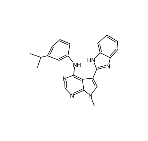 CC(C)c1cccc(Nc2ncnc3c2c(-c2nc4ccccc4[nH]2)cn3C)c1